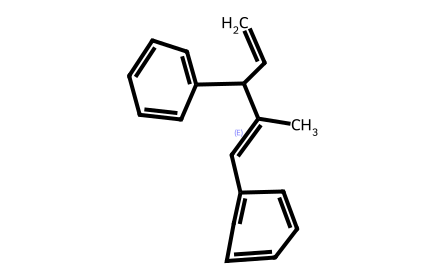 C=CC(/C(C)=C/c1ccccc1)c1ccccc1